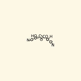 CN(C)Cc1ccc(-c2ccc(CCCC(=O)CCCc3ccc(-c4ccc(CN(C)C)cc4)cc3)cc2)cc1.O=C(O)/C=C/C(=O)O